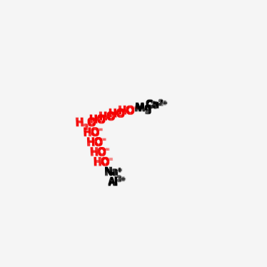 O.[Al+3].[Ca+2].[Mg+2].[Na+].[OH-].[OH-].[OH-].[OH-].[OH-].[OH-].[OH-].[OH-]